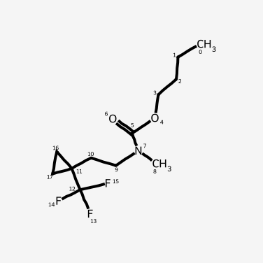 CCCCOC(=O)N(C)CCC1(C(F)(F)F)CC1